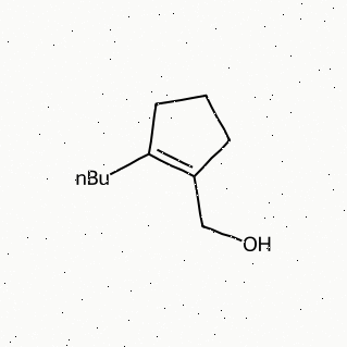 CCCCC1=C(CO)CCC1